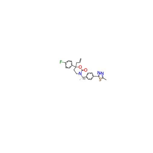 C=CCC1(c2ccc(F)cc2)CCN([C@@H](C)c2ccc(-c3nnc(C)s3)cc2)C(=O)O1